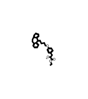 CCOC(=O)C(Cc1ccc(OCCCC=C2c3ccccc3CCc3ccccc32)cc1)OC